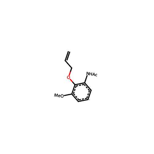 C=CCOc1c(NC(C)=O)c[c]cc1OC